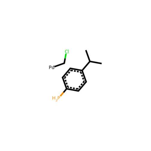 CC(C)c1ccc(P)cc1.Cl[CH2][Pd]